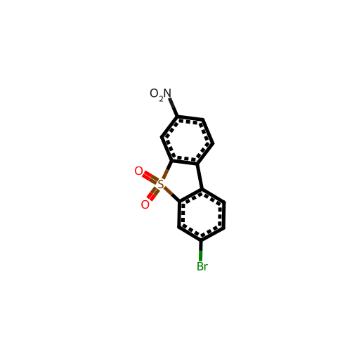 O=[N+]([O-])c1ccc2c(c1)S(=O)(=O)c1cc(Br)ccc1-2